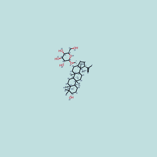 C=C(C)[C@@H]1CC[C@]2(CO[C@@H]3O[C@H](CO)[C@H](O)[C@H](O)[C@H]3O)CC[C@]3(C)[C@H](CC[C@@H]4[C@@]5(C)CC[C@H](O)C(C)(C)[C@@H]5CC[C@]43C)[C@@H]12